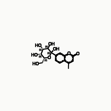 Cc1cc(=O)oc2cc([C@]3(O)O[C@H](CO)[C@H](O)[C@H](O)[C@H]3O)ccc12